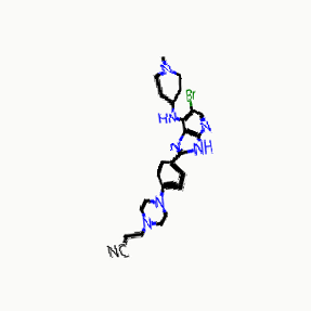 CN1CCC(Nc2c(Br)cnc3[nH]c(-c4ccc(N5CCN(CCC#N)CC5)cc4)nc23)CC1